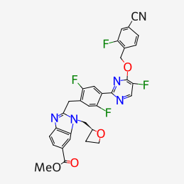 COC(=O)c1ccc2nc(Cc3cc(F)c(-c4ncc(F)c(OCc5ccc(C#N)cc5F)n4)cc3F)n(C[C@@H]3CCO3)c2c1